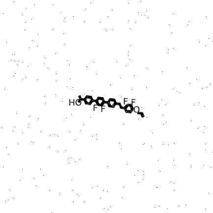 C=CCOc1ccc(CCc2ccc(-c3ccc(-c4ccc(C(C)O)cc4)c(F)c3F)cc2)c(F)c1F